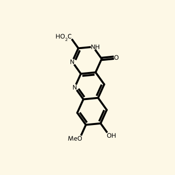 COc1cc2nc3nc(C(=O)O)[nH]c(=O)c3cc2cc1O